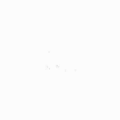 CCC(C)c1cnn(C2CCOC2)c1